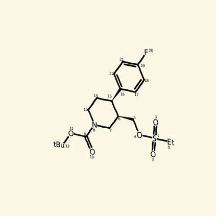 CCS(=O)(=O)OC[C@H]1CN(C(=O)OC(C)(C)C)CC[C@H]1c1ccc(F)cc1